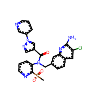 CS(=O)(=O)c1ncccc1N(Cc1ccc2cc(Cl)c(N)nc2c1)C(=O)c1cnn(-c2cccnc2)c1